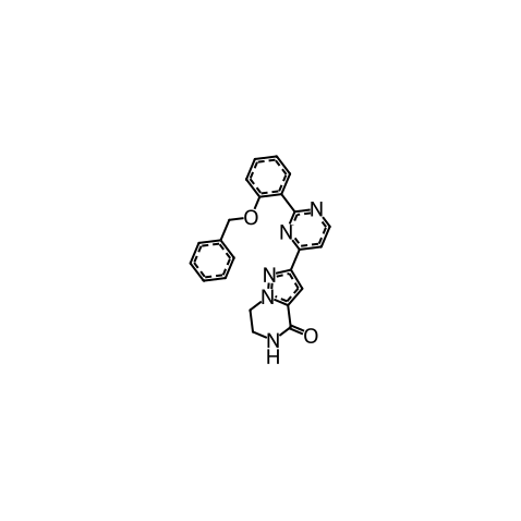 O=C1NCCn2nc(-c3ccnc(-c4ccccc4OCc4ccccc4)n3)cc21